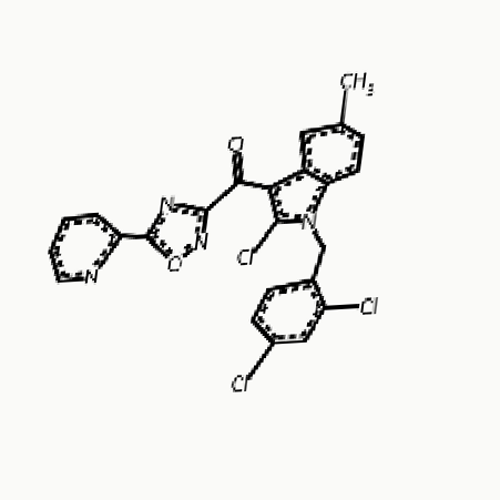 Cc1ccc2c(c1)c(C(=O)c1noc(-c3ccccn3)n1)c(Cl)n2Cc1ccc(Cl)cc1Cl